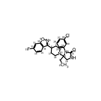 CCC1(N2CCC(c3noc4cc(F)ccc34)CC2)CNC(=O)N1c1cccc(Cl)c1